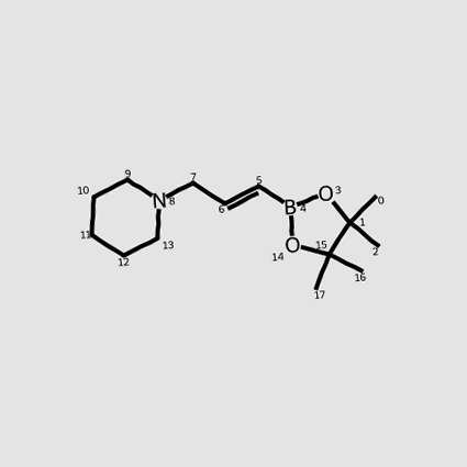 CC1(C)OB(/C=C/CN2CCCCC2)OC1(C)C